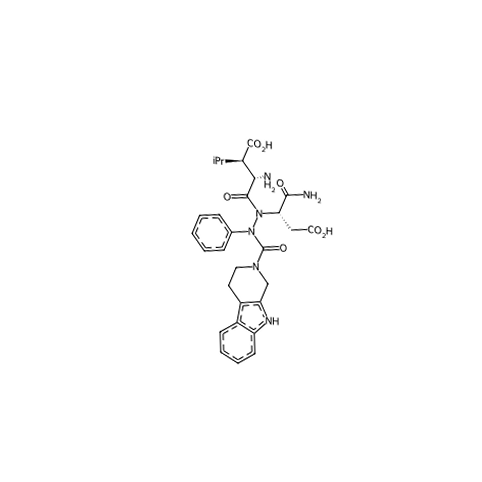 CC(C)[C@@H](C(=O)O)[C@H](N)C(=O)N([C@@H](CC(=O)O)C(N)=O)N(C(=O)N1CCc2c([nH]c3ccccc23)C1)c1ccccc1